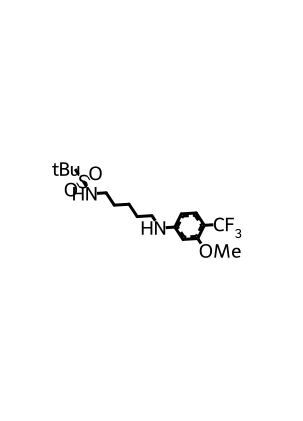 COc1cc(NCCCCCNS(=O)(=O)C(C)(C)C)ccc1C(F)(F)F